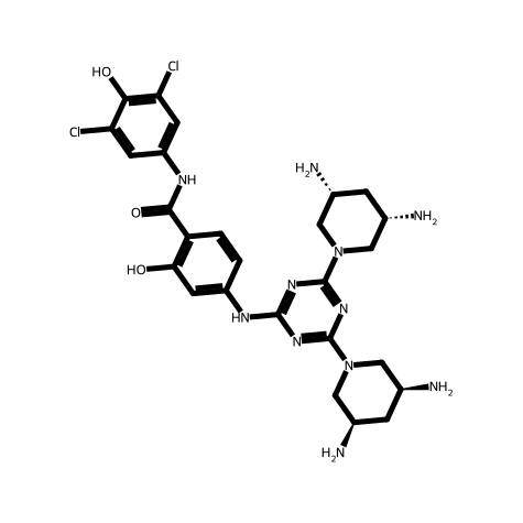 N[C@@H]1C[C@H](N)CN(c2nc(Nc3ccc(C(=O)Nc4cc(Cl)c(O)c(Cl)c4)c(O)c3)nc(N3C[C@H](N)C[C@H](N)C3)n2)C1